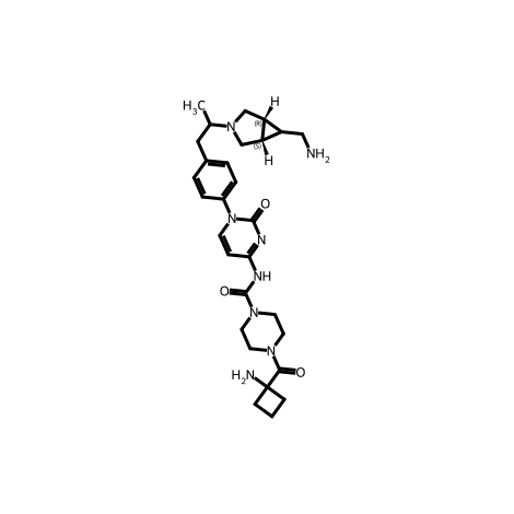 CC(Cc1ccc(-n2ccc(NC(=O)N3CCN(C(=O)C4(N)CCC4)CC3)nc2=O)cc1)N1C[C@@H]2C(CN)[C@@H]2C1